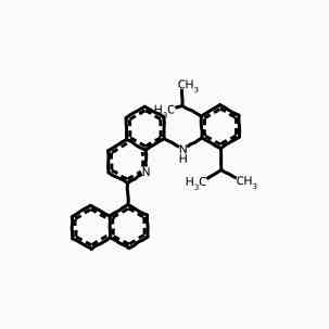 CC(C)c1cccc(C(C)C)c1Nc1cccc2ccc(-c3cccc4ccccc34)nc12